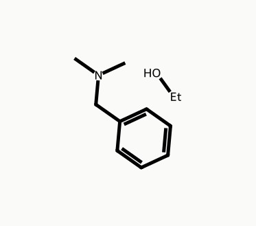 CCO.CN(C)Cc1ccccc1